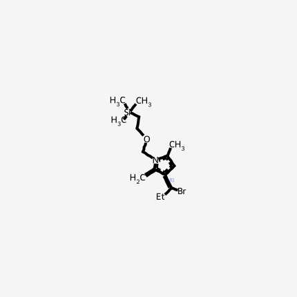 C=c1/c(=C(/Br)CC)cc(C)n1COCC[Si](C)(C)C